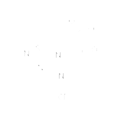 CCOC(=O)c1cn(-c2nc(C(C)C)ns2)c2nc(Cl)cc(C)c2c1=O